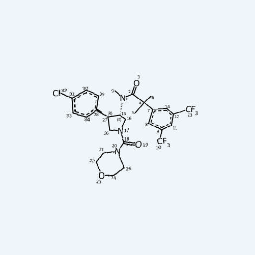 CN(C(=O)C(C)(C)c1cc(C(F)(F)F)cc(C(F)(F)F)c1)[C@@H]1CN(C(=O)N2CCOCC2)C[C@H]1c1ccc(Cl)cc1